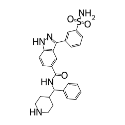 NS(=O)(=O)c1cccc(-c2n[nH]c3ccc(C(=O)NC(c4ccccc4)C4CCNCC4)cc23)c1